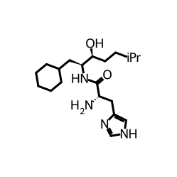 CC(C)CC[C@H](O)[C@H](CC1CCCCC1)NC(=O)[C@@H](N)Cc1c[nH]cn1